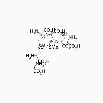 CSCCC(N)C(=O)O.CSCCC(N)C(=O)O.NC(CS)C(=O)O.NC(CS)C(=O)O.NCC(=O)O.NCC(=O)O